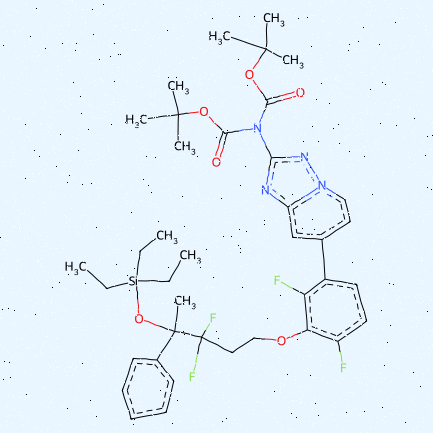 CC[Si](CC)(CC)OC(C)(c1ccccc1)C(F)(F)CCOc1c(F)ccc(-c2ccn3nc(N(C(=O)OC(C)(C)C)C(=O)OC(C)(C)C)nc3c2)c1F